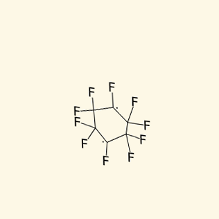 F[C]1C(F)(F)C(F)(F)[C](F)C(F)(F)C1(F)F